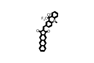 CN1c2ccccc2C(C(F)(F)F)(C(F)(F)F)c2cc(C=C3C(=O)c4cc5cc6ccccc6cc5cc4C3=O)ccc21